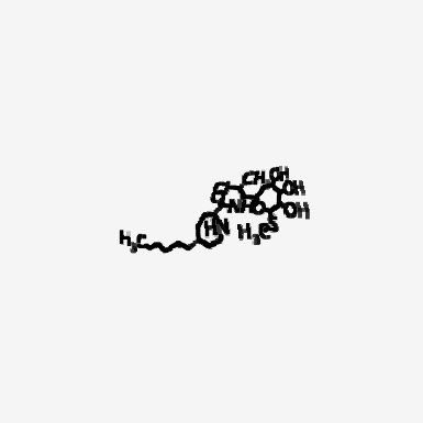 CCCCCC[C@@H]1CCN[C@H](C(=O)N[C@@H](C2CC(O)C(O)[C@@H](O)C(SC)O2)[C@H](C)Cl)CC1